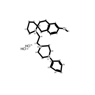 COc1ccc2c(c1)CCC1(CCCCN1CCN1CCN(c3ccccc3)CC1)C2.Cl.Cl